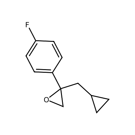 Fc1ccc(C2(CC3CC3)CO2)cc1